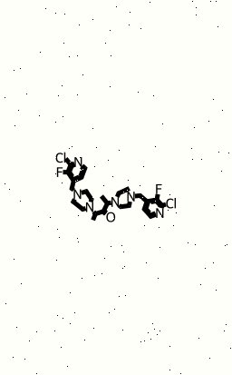 CC(C(=O)C(C)N1CCN(Cc2ccnc(Cl)c2F)CC1)N1CCN(Cc2ccnc(Cl)c2F)CC1